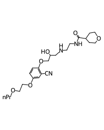 CCCOCCOc1ccc(OCC(O)CNCCNC(=O)C2CCOCC2)c(C#N)c1